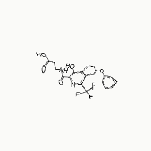 O=C(O)CCNC(=O)c1nc(C(F)(F)F)c2cc(Oc3ccccc3)ccc2c1O